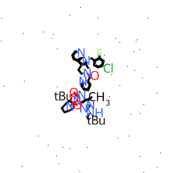 Cc1nc(NCC(C)(C)C)nc2c1n(-c1ccc(C(=O)N3CCc4c(n(Cc5ccc(Cl)cc5F)c5ncccc45)C3)nc1)c(=O)n2C1CC2CCC(C1)N2C(=O)OC(C)(C)C